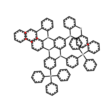 c1ccc(-c2ccc3c(c2)N(c2ccccc2-c2ccccc2)c2cc(N4c5ccccc5Sc5ccccc54)cc4c2B3c2ccc([Si](c3ccccc3)(c3ccccc3)c3ccccc3)cc2N4c2cccc([Si](c3ccccc3)(c3ccccc3)c3ccccc3)c2)cc1